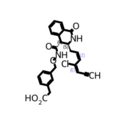 C#C/C=C(Cl)\C=C/C[C@@H]1NC(=O)c2ccccc2[C@H]1C(=O)NOCc1cccc(CC(=O)O)c1